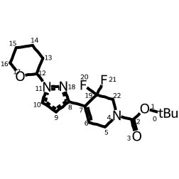 CC(C)(C)OC(=O)N1CC=C(c2ccn(C3CCCCO3)n2)C(F)(F)C1